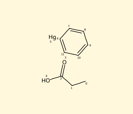 CCC(=O)O.[Hg].c1ccccc1